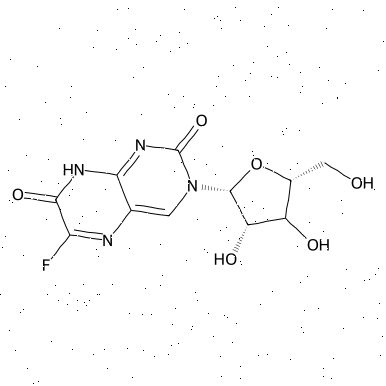 O=c1[nH]c2nc(=O)n([C@@H]3O[C@H](CO)C(O)[C@@H]3O)cc2nc1F